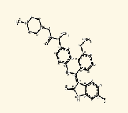 CN1CCN(CC(=O)N(C)c2ccc(N/C(=C3\C(=O)Nc4cc(F)ccc43)c3cccc(CN)c3)cc2)CC1